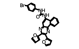 O=C(Nc1ccc(Br)cc1)Nc1cc2nc(-c3ccco3)c(-c3ccco3)nc2c2ccccc12